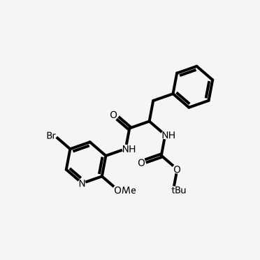 COc1ncc(Br)cc1NC(=O)C(Cc1ccccc1)NC(=O)OC(C)(C)C